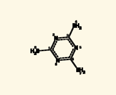 Bc1nc(B)nc(B)n1